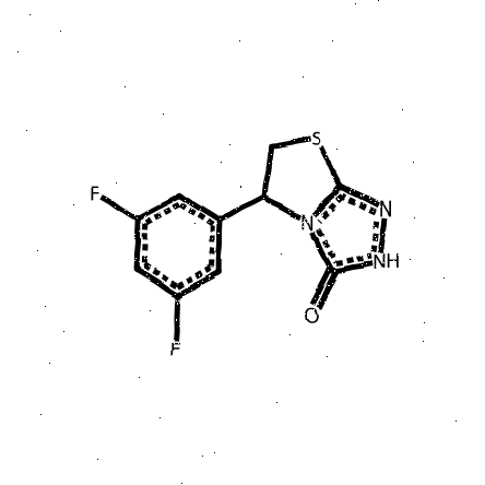 O=c1[nH]nc2n1C(c1cc(F)cc(F)c1)CS2